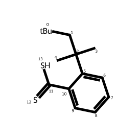 CC(C)(C)CC(C)(C)c1ccccc1C(=S)S